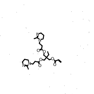 C=CC(=O)OCC(CC)(COC(=O)CCN1CCCN=C1C)COC(=O)CCN1CCCN=C1C